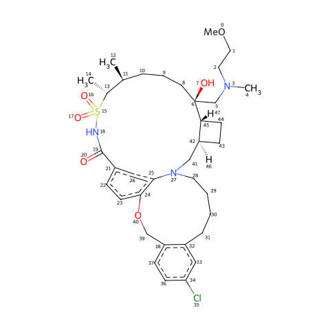 COCCN(C)C[C@@]1(O)CCC[C@H](C)[C@@H](C)S(=O)(=O)NC(=O)c2ccc3c(c2)N(CCCCc2cc(Cl)ccc2CO3)C[C@@H]2CC[C@H]21